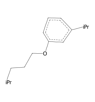 CC(C)CCCOc1cccc(C(C)C)c1